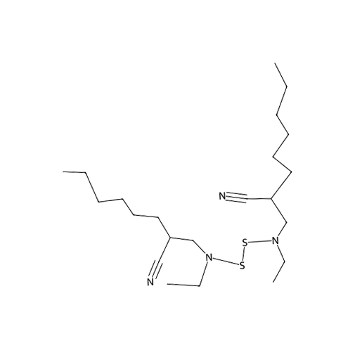 CCCCCCC(C#N)CN(CC)SSN(CC)CC(C#N)CCCCCC